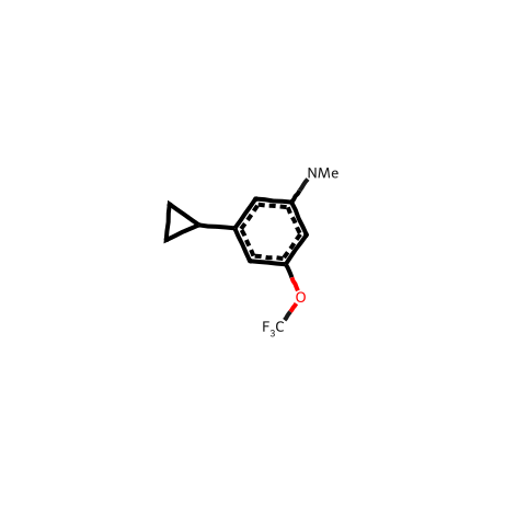 CNc1cc(OC(F)(F)F)cc(C2CC2)c1